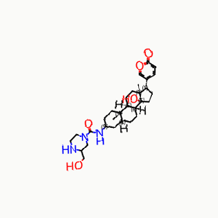 C[C@]12CC[C@H](NC(=O)N3CCNC(CO)C3)C[C@H]1CC[C@@H]1[C@@H]2CC[C@]2(C)[C@@H](c3ccc(=O)oc3)CC[C@]12O